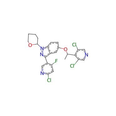 CC(Oc1ccc2c(c1)c(-c1cnc(Cl)cc1F)nn2C1CCCCO1)c1c(Cl)cncc1Cl